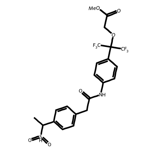 COC(=O)COC(c1ccc(NC(=O)Cc2ccc(C(C)[SH](=O)=O)cc2)cc1)(C(F)(F)F)C(F)(F)F